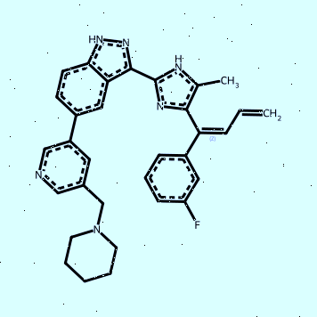 C=C/C=C(/c1cccc(F)c1)c1nc(-c2n[nH]c3ccc(-c4cncc(CN5CCCCC5)c4)cc23)[nH]c1C